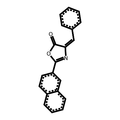 O=C1OC(c2ccc3ccccc3c2)=N/C1=C/c1ccccc1